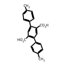 Cc1ccc(-c2cc(C(=O)O)c(-c3ccc(C)cc3)cc2C(=O)O)cc1